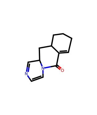 O=C1C2=CCCCC2CC2C=NC=CN12